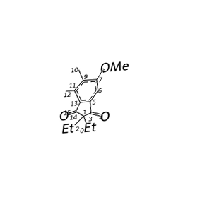 CCC1(CC)C(=O)c2cc(OC)c(C)c(C)c2C1=O